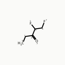 CCC(=O)C(F)CF